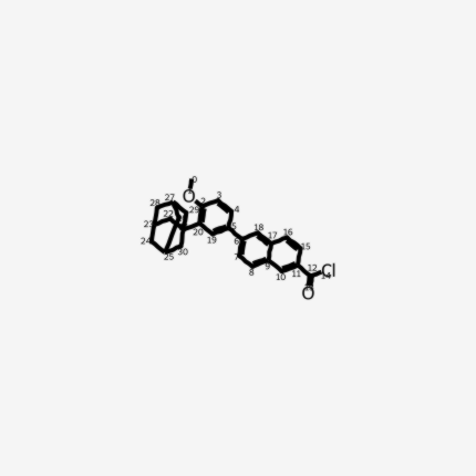 COc1ccc(-c2ccc3cc(C(=O)Cl)ccc3c2)cc1C12CC3CC(CC(C3)C1)C2